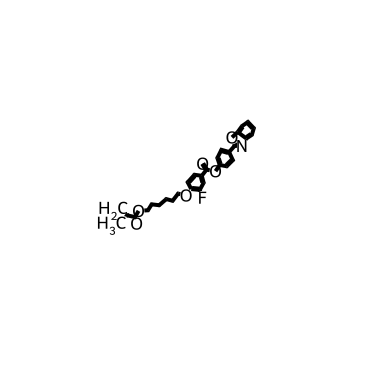 C=C(C)C(=O)OCCCCCCOc1ccc(C(=O)Oc2ccc(-c3nc4ccccc4o3)cc2)cc1F